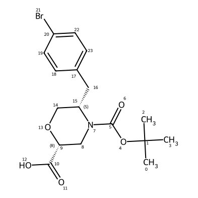 CC(C)(C)OC(=O)N1C[C@H](C(=O)O)OC[C@@H]1Cc1ccc(Br)cc1